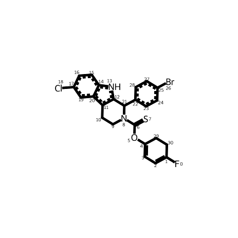 FC1=CC=C(OC(=S)N2CCc3c([nH]c4ccc(Cl)cc34)C2c2ccc(Br)cc2)CC1